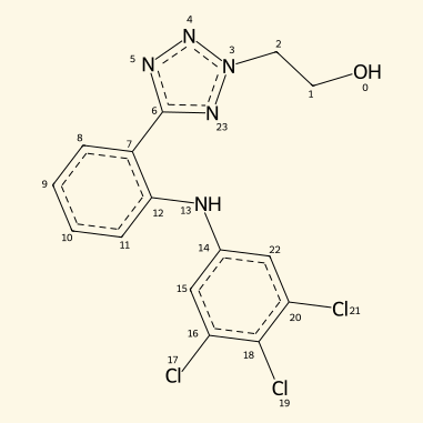 OCCn1nnc(-c2ccccc2Nc2cc(Cl)c(Cl)c(Cl)c2)n1